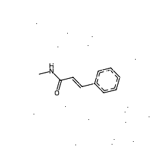 CNC(=O)/C=C/c1ccccc1